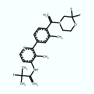 C=C(c1ccc(-c2nccc(NC(=C)C(C)(C)F)c2C)cc1C)N1CCOC(F)(F)C1